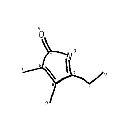 CCC1=NC(=O)C(C)=C1C